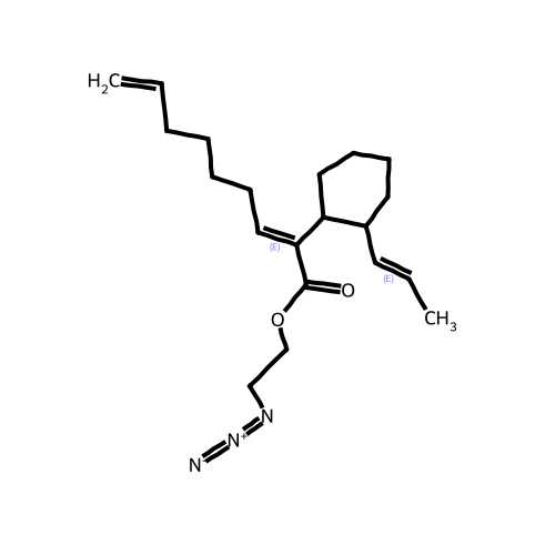 C=CCCCC/C=C(/C(=O)OCCN=[N+]=[N-])C1CCCCC1/C=C/C